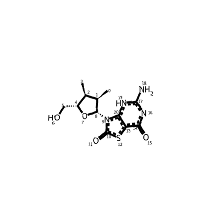 C[C@@H]1[C@H](C)[C@@H](CO)O[C@H]1n1c(=O)sc2c(=O)nc(N)[nH]c21